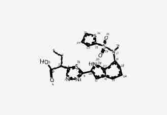 CCC(C(=O)O)c1nnc(-c2cc3cccc(N(C)S(=O)(=O)c4cccs4)c3[nH]2)s1